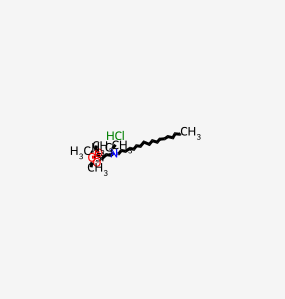 CCCCCCCCCCCCCCCCCCN(CCC[Si](OCC)(OCC)OCC)C(C)C.Cl